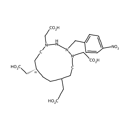 O=C(O)CC1CC[C@H](CC(=O)O)CCN(CC(=O)O)NN(Cc2ccc([N+](=O)[O-])cc2)N(CC(=O)O)CC1